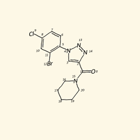 O=C(c1cn(-c2ccc(Cl)cc2Br)nn1)N1CCCCC1